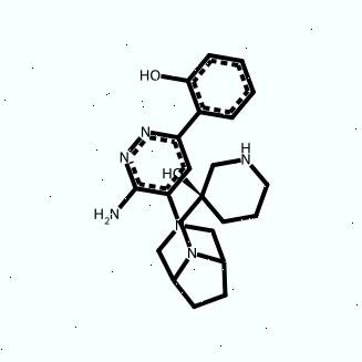 Nc1nnc(-c2ccccc2O)cc1N1CC2CCC(C1)N2C[C@@]1(O)CCCNC1